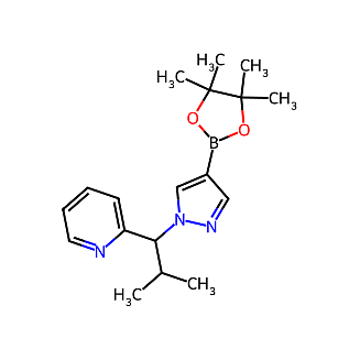 CC(C)C(c1ccccn1)n1cc(B2OC(C)(C)C(C)(C)O2)cn1